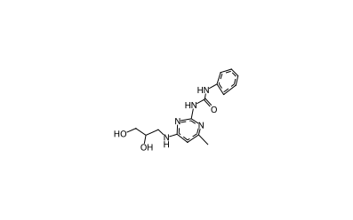 Cc1cc(NCC(O)CO)nc(NC(=O)Nc2ccccc2)n1